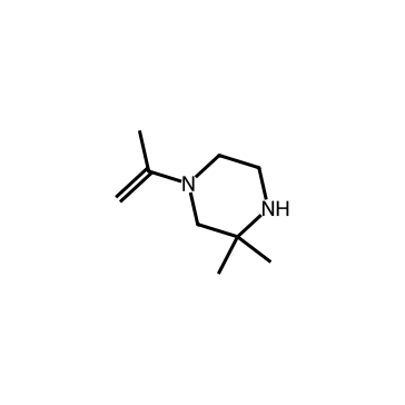 C=C(C)N1CCNC(C)(C)C1